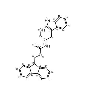 O=C(N[C@H](CO)Cc1c[nH]c2ccccc12)OCC1c2ccccc2-c2ccccc21